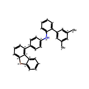 CC(C)(C)c1cc(-c2ccccc2Nc2ccc(-c3cccc4sc5ccccc5c34)cc2)cc(C(C)(C)C)c1